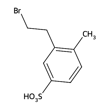 Cc1ccc(S(=O)(=O)O)cc1CCBr